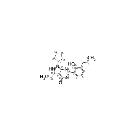 C=CCc1cccc(-c2nc3n(C4CCCC4)[nH]c(CC)c-3c(=O)n2)c1O